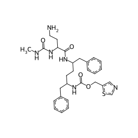 CNC(=O)NC(CCN)C(=O)NC(CCC(Cc1ccccc1)NC(=O)OCc1cncs1)Cc1ccccc1